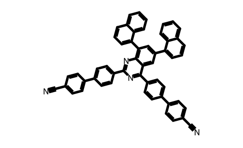 N#Cc1ccc(-c2ccc(-c3nc(-c4ccc(-c5ccc(C#N)cc5)cc4)c4cc(-c5cccc6ccccc56)cc(-c5cccc6ccccc56)c4n3)cc2)cc1